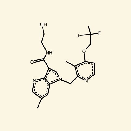 Cc1cnc2c(C(=O)NCCO)cn(Cc3nccc(OCC(C)(F)F)c3C)c2c1